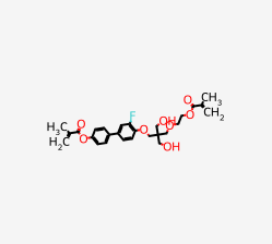 C=C(C)C(=O)OCCOCC(CO)(CO)COc1ccc(-c2ccc(OC(=O)C(=C)C)cc2)cc1F